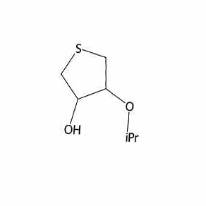 CC(C)OC1CSCC1O